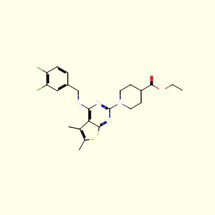 CCOC(=O)C1CCN(c2nc(NCc3ccc(Cl)c(Cl)c3)c3c(C)c(C)sc3n2)CC1